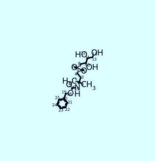 CC(C)(CCS(=O)(=O)CC(O)C(O)CO)NC(=O)OCc1ccccc1